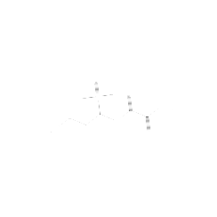 C=C(C)C(=O)OC(CCC)P(=O)(O)O